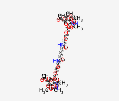 CC(=O)NC1C(OCCOCCOCCNC(=O)CCCCCC(=O)NCCOCCOCCOC2OC(COC(C)=O)C(OC(C)=O)C(OC(C)=O)C2NC(C)=O)OC(COC(C)=O)C(OC(C)=O)C1OC(C)=O